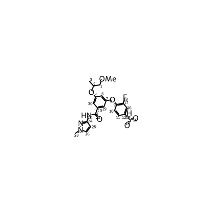 COCC(C)Oc1cc(Oc2ccc([SH](=O)=O)cc2F)cc(C(=O)Nc2ccn(C)n2)c1